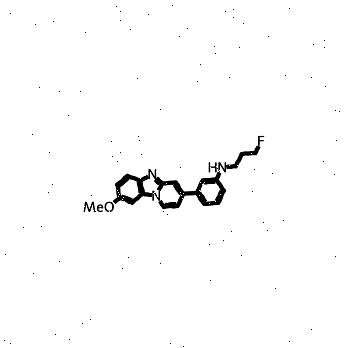 COc1ccc2nc3cc(-c4cccc(NCCCF)c4)ccn3c2c1